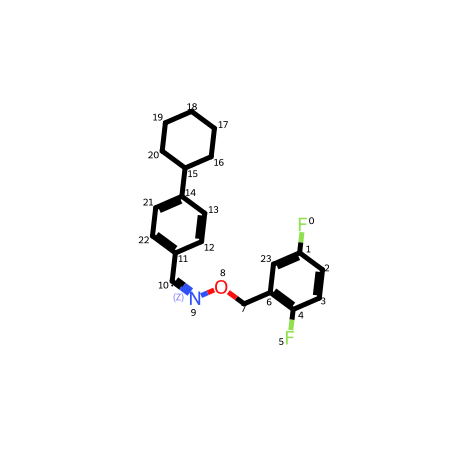 Fc1ccc(F)c(CO/N=[C]\c2ccc(C3CCCCC3)cc2)c1